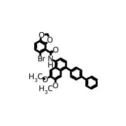 COc1cc2c(NC(=O)c3c(Br)ccc4c3OCO4)ccc(-c3ccc(-c4ccccc4)cc3)c2cc1OC